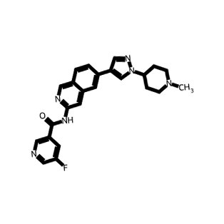 CN1CCC(n2cc(-c3ccc4cnc(NC(=O)c5cncc(F)c5)cc4c3)cn2)CC1